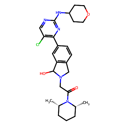 C[C@@H]1CCC[C@H](C)N1C(=O)CN1Cc2ccc(-c3nc(NC4CCOCC4)ncc3Cl)cc2C1O